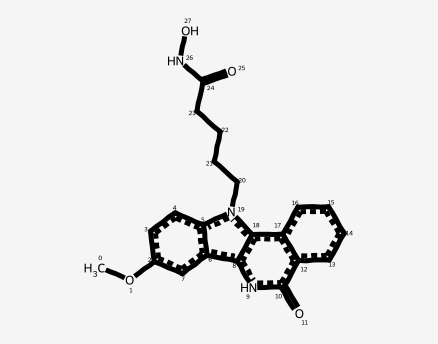 COc1ccc2c(c1)c1[nH]c(=O)c3ccccc3c1n2CCCCC(=O)NO